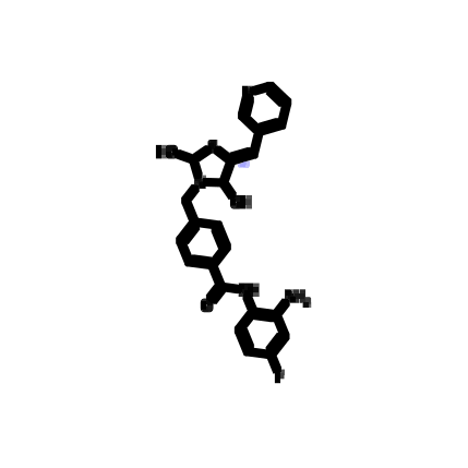 Nc1cc(F)ccc1NC(=O)c1ccc(CN2C(O)S/C(=C\c3cccnc3)C2O)cc1